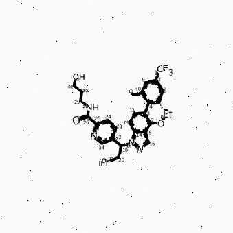 CCOc1c(-c2ccc(C(F)(F)F)cc2C)ccc2c1cnn2C(CC(C)C)c1ccc(C(=O)NCCCO)nc1